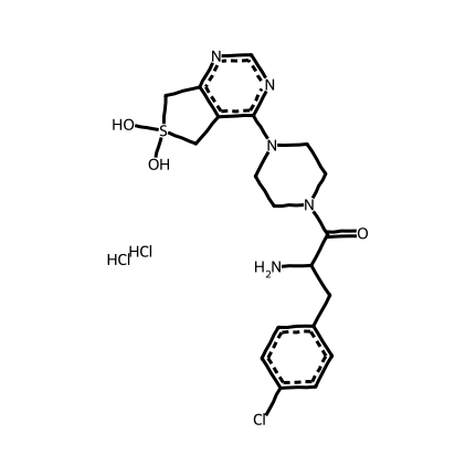 Cl.Cl.NC(Cc1ccc(Cl)cc1)C(=O)N1CCN(c2ncnc3c2CS(O)(O)C3)CC1